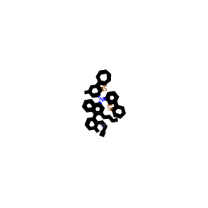 C#C/C=C\C1=C(c2c(CCCC)cc(N(C3=CC(C)Cc4c3sc3c4CC=CC=C3)c3cccc4c5c(sc34)C=CCC5)c3ccccc23)C=CCC1C